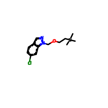 C[Si](C)(C)CCOCn1ncc2ccc(Cl)cc21